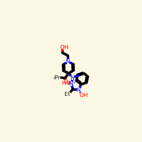 CCC1N(O)c2ccc3cc2[N+]1(O)N3C1(C(=O)C(C)C)C=CN(CCO)C=C1